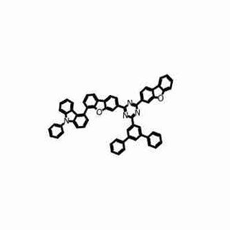 c1ccc(-c2cc(-c3ccccc3)cc(-c3nc(-c4ccc5c(c4)oc4ccccc45)nc(-c4ccc5c(c4)oc4c(-c6cccc7c6c6ccccc6n7-c6ccccc6)cccc45)n3)c2)cc1